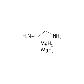 NCCN.[MgH2].[MgH2]